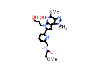 CNc1nc2c(cc(-c3cccc(CNC(=O)COC)n3)n2C[C@@H](O)CO)c2c1ncn2C